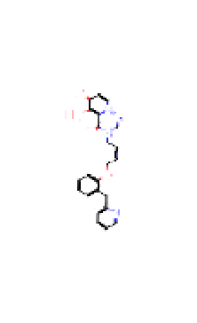 O=C1c2c(O)c(=O)ccn2NCN1C/C=C\COc1ccccc1Cc1ccccn1